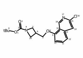 CC(C)(C)OC(=O)N1CC(COc2cccc3cc(Cl)ncc23)C1